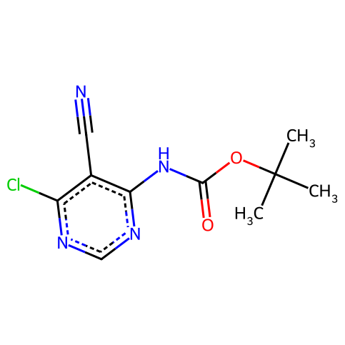 CC(C)(C)OC(=O)Nc1ncnc(Cl)c1C#N